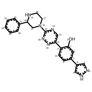 Oc1cc(-c2cn[nH]c2)ccc1-c1cnc(N2CCNC(c3ccccc3)C2)nn1